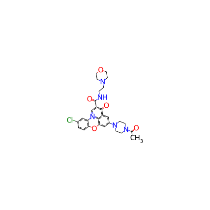 CC(=O)N1CCN(c2cc3c4c(c2)c(=O)c(C(=O)NCCN2CCOCC2)cn4-c2cc(Cl)ccc2O3)CC1